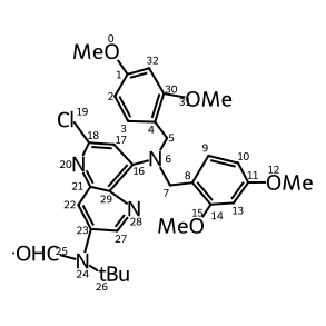 COc1ccc(CN(Cc2ccc(OC)cc2OC)c2cc(Cl)nc3cc(N([C]=O)C(C)(C)C)cnc23)c(OC)c1